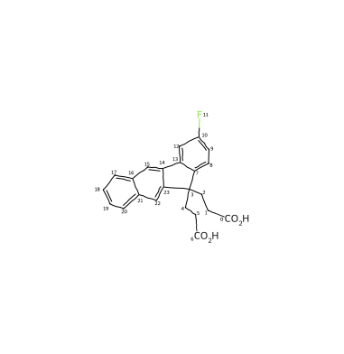 O=C(O)CCC1(CCC(=O)O)c2ccc(F)cc2-c2cc3ccccc3cc21